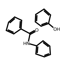 O=C(Nc1ccccc1)c1ccccc1.Oc1ccccc1